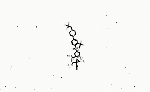 CO[C@@H]1C[C@H](S(=O)(=O)c2ccc(N3CCN(CC(F)(F)F)CC3)cc2C(F)(F)F)C[C@@]1(C(=O)O)C1CC1(C#N)C(N)=O